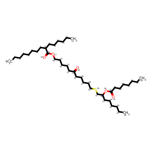 CCCCCCCCC(CCCCCC)C(=O)OCCCCCC(=O)CCCCCSCC(CCCCCC)OC(=O)CCCCCCC